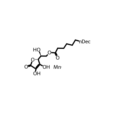 CCCCCCCCCCCCCCCC(=O)OC[C@H](O)[C@H]1OC(=O)C(O)=C1O.[Mn]